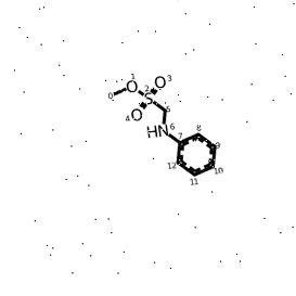 COS(=O)(=O)CNc1ccccc1